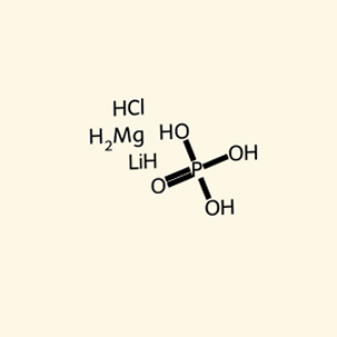 Cl.O=P(O)(O)O.[LiH].[MgH2]